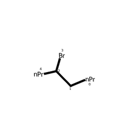 CCCCC(Br)CCC